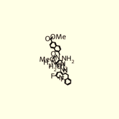 C=C(/N=C(/N)C(=C(N)N)N(Cc1ccc2cc(C(=O)OC)ccc2c1)C(=O)OC)n1nc(Cc2ccccc2F)c2ncc(F)cc21